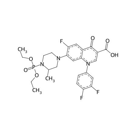 CCOP(=O)(OCC)N1CCN(c2cc3c(cc2F)c(=O)c(C(=O)O)cn3-c2ccc(F)c(F)c2)CC1C